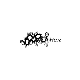 CCCCCCC(=O)O[C@H]1CCC2[C@@H]3CCC4=CC(=O)CC[C@]4(C)C3CC[C@@]21C